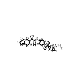 NC12CC1CN(S(=O)(=O)c1ccc(CNC(=O)c3ccc4nccn4c3)cc1)C2